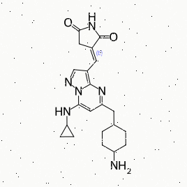 NC1CCC(Cc2cc(NC3CC3)n3ncc(/C=C4\CC(=O)NC4=O)c3n2)CC1